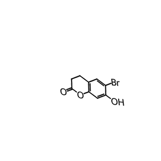 O=C1CCc2cc(Br)c(O)cc2O1